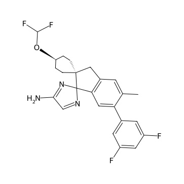 Cc1cc2c(cc1-c1cc(F)cc(F)c1)C1(N=CC(N)=N1)[C@]1(CC[C@H](OC(F)F)CC1)C2